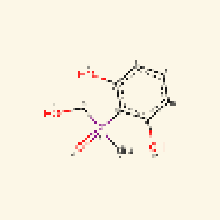 CC(C)(C)P(=O)(CO)c1c(O)cccc1O